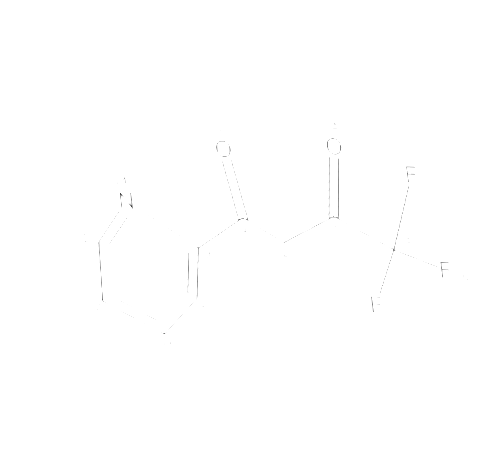 O=C(CC(=O)C(F)(F)F)c1ccccn1